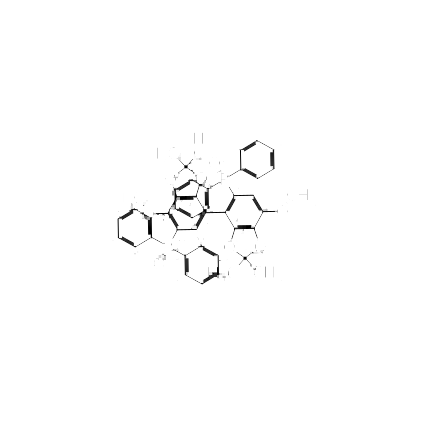 COc1cc(P(=O)(c2ccccc2)c2ccccc2)c(-c2cc(P(=O)(c3ccccc3)c3ccccc3)c(OC)c3c2OC(C)(C)O3)c2c1OC(C)(C)O2